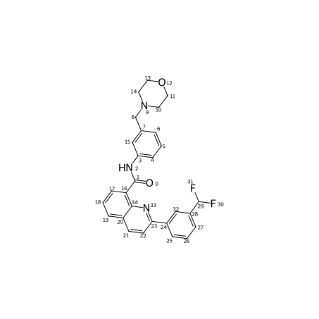 O=C(Nc1cccc(CN2CCOCC2)c1)c1cccc2ccc(-c3cccc(C(F)F)c3)nc12